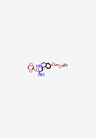 CC(C)OCCOc1ccc2c(c1)CCN/C2=C\C(=N)OC[C@H]1COCCO1